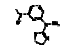 C[S+]([O-])c1cccc(N(N)C2=NCCS2)c1